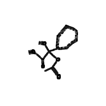 CC(=O)OC(O)(C(=O)O)c1ccccc1